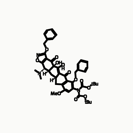 COc1cc(N(C(=O)OC(C)(C)C)C(=O)OC(C)(C)C)c(OCc2ccccc2)c2c1C[C@H]1C[C@H]3[C@H](N(C)C)c4onc(OCc5ccccc5)c4C(=O)[C@@]3(O)C(O)=C1C2=O